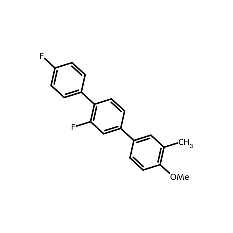 COc1ccc(-c2ccc(-c3ccc(F)cc3)c(F)c2)cc1C